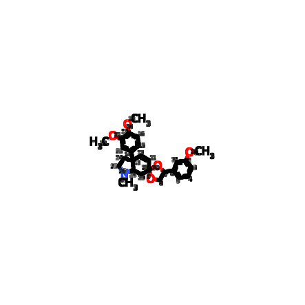 COc1cccc(C2COC3(C=CC4(c5ccc(OC)c(OC)c5)CCN(C)C4C3)O2)c1